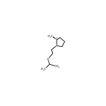 CC(C)OCCN1CCC[C@@H]1C